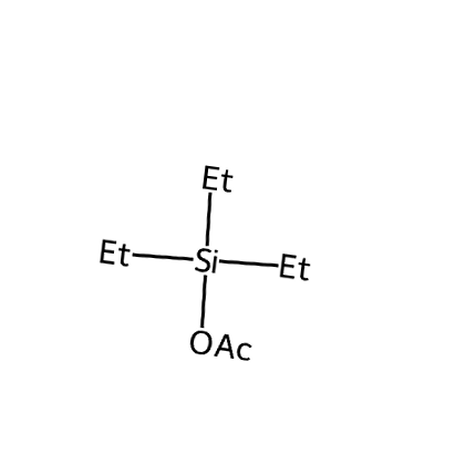 [CH2]C(=O)O[Si](CC)(CC)CC